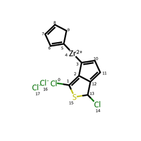 ClC1=C2[C]([Zr+2][C]3=CC=CC3)=CC=C2C(Cl)S1.[Cl-].[Cl-]